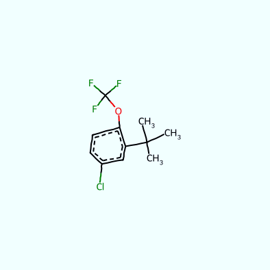 CC(C)(C)c1cc(Cl)ccc1OC(F)(F)F